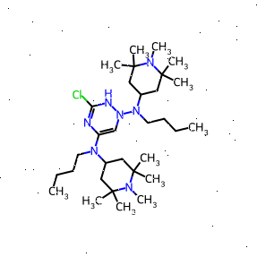 CCCCN(C1=CN(N(CCCC)C2CC(C)(C)N(C)C(C)(C)C2)NC(Cl)=N1)C1CC(C)(C)N(C)C(C)(C)C1